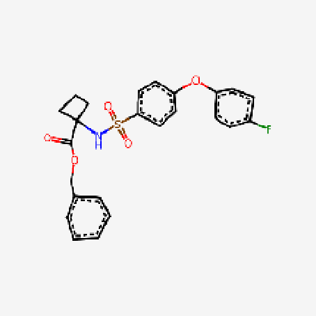 O=C(OCc1ccccc1)C1(NS(=O)(=O)c2ccc(Oc3ccc(F)cc3)cc2)CCC1